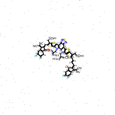 [C-]#[N+]/C(C#N)=C1\C(=C\c2sc3c(sc4c5c6nsnc6c6c7sc8c(CCCCCCCCCCC)c(/C=C/C=C9\C(=O)c%10cc(F)c(F)cc%10\C9=C(\C#N)[N+]#[C-])sc8c7n(CC(CCCCCC)CCCCCCCC)c6c5n(CC(CCCCCC)CCCCCCCC)c34)c2CCCCCCCCCCC)C(=O)c2cc(F)c(F)cc21